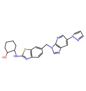 OC1CCCCC1Nc1nc2ccc(Cn3cnc4cc(-n5cccn5)cnc43)cc2s1